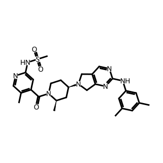 Cc1cc(C)cc(Nc2ncc3c(n2)CN([C@@H]2CCN(C(=O)c4cc(NS(C)(=O)=O)ncc4C)[C@H](C)C2)C3)c1